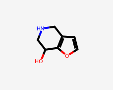 OC1CNCc2ccoc21